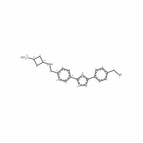 CC(C)Cc1ccc(-c2noc(-c3ccc(CNC4CC(C(=O)O)C4)nc3)n2)cc1